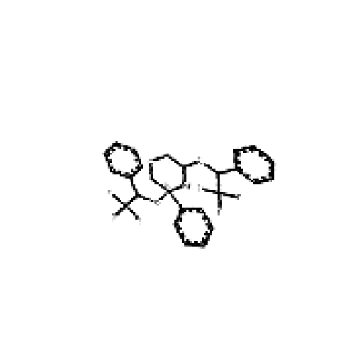 FC(F)(F)C(OC1COC[C@@](OC(c2ccccc2)C(F)(F)F)(c2ccccc2)N1)c1ccccc1